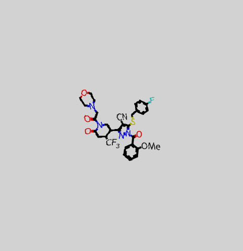 COc1ccccc1C(=O)n1nc(C2CN(C(=O)CN3CCOCC3)C(=O)CC2C(F)(F)F)c(C#N)c1SCc1ccc(F)cc1